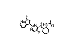 CC(=O)N[C@@H]1CCCC[C@H]1Nc1nc(-c2c[nH]c3ncccc23)ncc1F